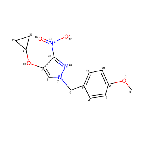 COc1ccc(Cn2cc(OC3CC3)c([N+](=O)[O-])n2)cc1